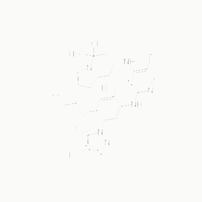 Cn1nnn(-c2cc(Nc3ncc(F)c(N[C@@H]4C[C@H]5CCCN5C(C)(C)C4)n3)c(F)cc2OCCO)c1=O